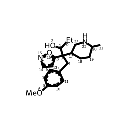 CCC(O)C(Cc1ccc(OC)cc1)(c1ccno1)C1CCC(C)NC1